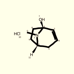 CN1[C@@H]2CC=C[C@@]1(O)CC2.Cl